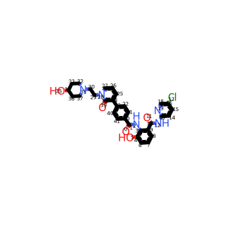 O=C(Nc1c(O)cccc1C(=O)Nc1ccc(Cl)cn1)c1ccc(-c2cccn(CCN3CCC(O)CC3)c2=O)cc1